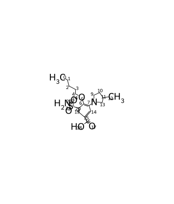 CCCCCOc1c(N2CCC(C)C2)cc(C(=O)O)cc1S(N)(=O)=O